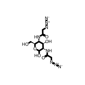 [N-]=[N+]=NCC(=O)N[C@H]1[C@H](O)[C@H](NC(=O)CN=[N+]=[N-])C(O)O[C@H]1CO